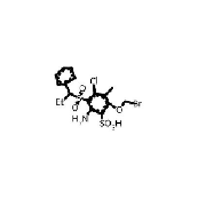 CCC(c1ccccc1)S(=O)(=O)c1c(N)c(S(=O)(=O)O)c(OCBr)c(C)c1Cl